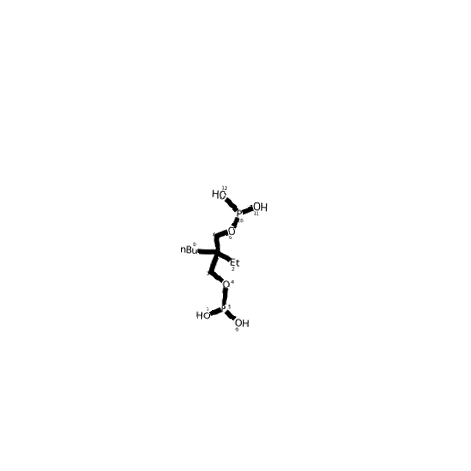 CCCCC(CC)(COP(O)O)COP(O)O